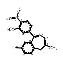 CC1=NN=C(c2ccc([N+](=O)[O-])c(C)c2)c2cc(Cl)ccc2C1